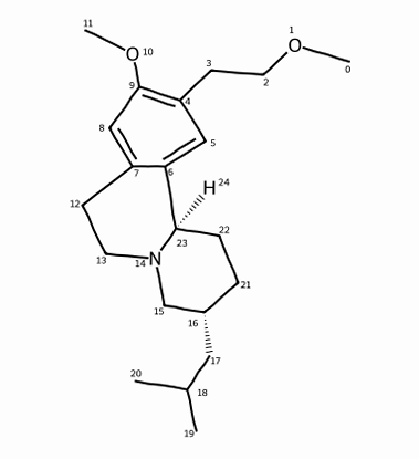 COCCc1cc2c(cc1OC)CCN1C[C@@H](CC(C)C)CC[C@H]21